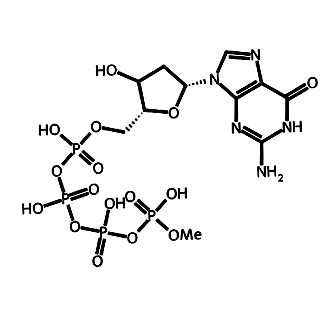 COP(=O)(O)OP(=O)(O)OP(=O)(O)OP(=O)(O)OC[C@H]1O[C@@H](n2cnc3c(=O)[nH]c(N)nc32)CC1O